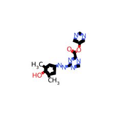 Cc1cc(/N=N/c2ncnc(C(=O)Oc3cncnc3)n2)cc(C)c1O